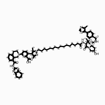 Cc1ncsc1-c1ccc([C@H](C)NC(=O)[C@@H]2C[C@@H](O)CN2C(=O)[C@@H](NC(=O)CCCCCCCCCCCCCCCn2nc(C)c(-c3ccc(N4CCc5cccc(C(=O)Nc6nc7ccccc7s6)c5C4)nc3C(=O)O)c2C)C(C)(C)C)cc1